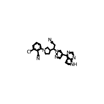 N#CCC(C1CCN(c2cccc(Cl)c2C#N)C1)n1cc(-c2ncnc3[nH]ccc23)cn1